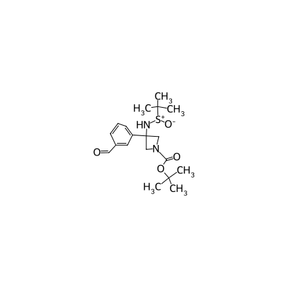 CC(C)(C)OC(=O)N1CC(N[S+]([O-])C(C)(C)C)(c2cccc(C=O)c2)C1